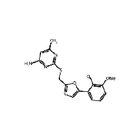 COc1cccc(-c2cnc(CSc3nc(C)cc(N)n3)o2)c1Cl